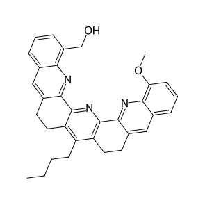 CCCCc1c2c(nc3c1CCc1cc4cccc(OC)c4nc1-3)-c1nc3c(CO)cccc3cc1CC2